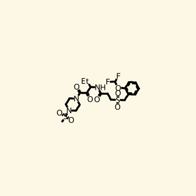 CCC(NC(=O)CCS(=O)(=O)Cc1ccccc1OC(F)F)C(=O)C(=O)N1CCN(S(C)(=O)=O)CC1